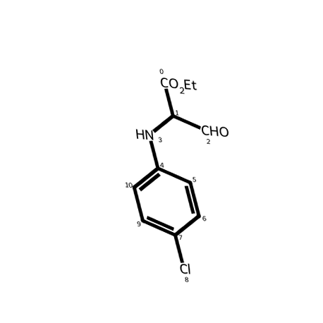 CCOC(=O)C(C=O)Nc1ccc(Cl)cc1